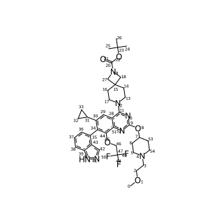 COCCN1CCC(Oc2nc(N3CCC4(CC3)CN(C(=O)OC(C)(C)C)C4)c3cc(C4CC4)c(-c4cccc5[nH]ncc45)c(OCC(F)(F)F)c3n2)CC1